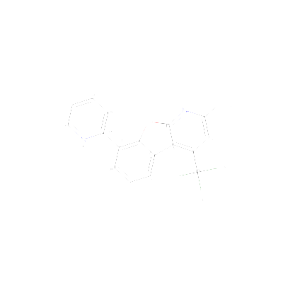 Cc1cc(C(F)(F)F)c2c(n1)oc1c(-c3ccccn3)cccc12